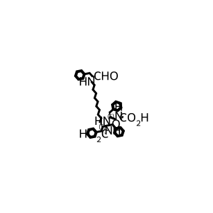 O=CC(Cc1ccccc1)NCCCCCCCCCC[C@@H](Cc1ccccc1)C(Cc1ccccc1)(NC(=O)O)N[C@@H](Cc1ccccc1)C(=O)NC(=O)O